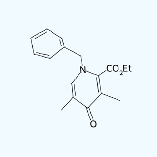 CCOC(=O)c1c(C)c(=O)c(C)cn1Cc1ccccc1